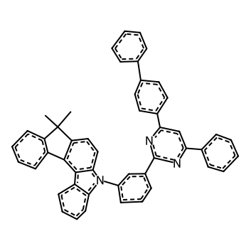 CC1(C)c2ccccc2-c2c1ccc1c2c2ccccc2n1-c1cccc(-c2nc(-c3ccccc3)cc(-c3ccc(-c4ccccc4)cc3)n2)c1